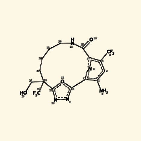 Nc1cc(C(F)(F)F)c2nc1-c1nnc(o1)C(CO)(C(F)(F)F)CCCCNC2=O